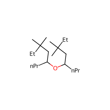 CCCC(CC(C)(C)CC)OC(CCC)CC(C)(C)CC